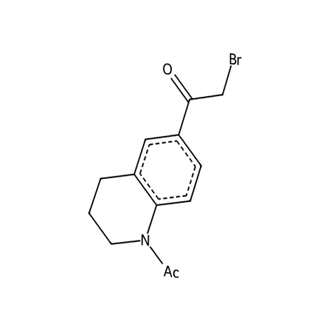 CC(=O)N1CCCc2cc(C(=O)CBr)ccc21